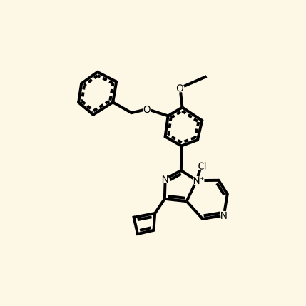 COc1ccc(C2=NC(C3=CC=C3)=C3C=NC=C[N+]23Cl)cc1OCc1ccccc1